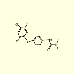 CN(C)C(=O)Nc1ccc(Oc2nc(F)c(Cl)cc2Cl)cc1